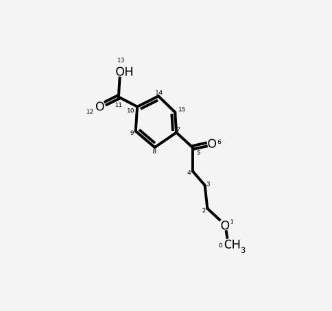 COCCCC(=O)c1ccc(C(=O)O)cc1